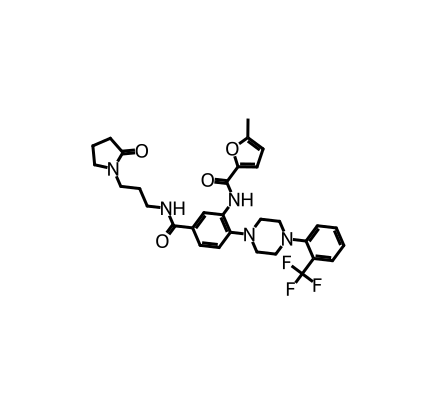 Cc1ccc(C(=O)Nc2cc(C(=O)NCCCN3CCCC3=O)ccc2N2CCN(c3ccccc3C(F)(F)F)CC2)o1